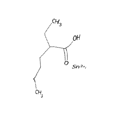 CCCCC(CC)C(=O)O.[Sn+2]